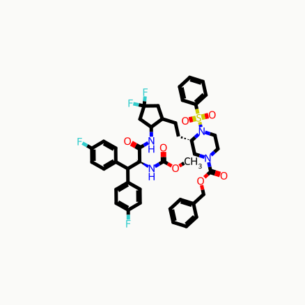 COC(=O)N[C@H](C(=O)NC1CC(F)(F)CC1CC[C@H]1CN(C(=O)OCc2ccccc2)CCN1S(=O)(=O)c1ccccc1)C(c1ccc(F)cc1)c1ccc(F)cc1